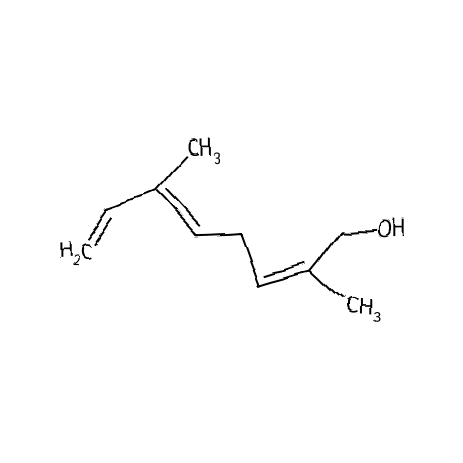 C=CC(C)=CCC=C(C)CO